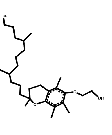 Cc1c(C)c2c(c(C)c1OCCO)CCC(C)(CCCC(C)CCCC(C)CCCC(C)C)O2